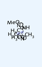 CC/C(C)=C\C(=C/c1[nH]c2ccc(OC)nc2c1C)c1c(C)noc1C